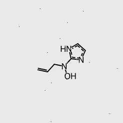 C=CCN(O)c1ncc[nH]1